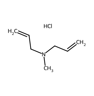 C=CCN(C)CC=C.Cl